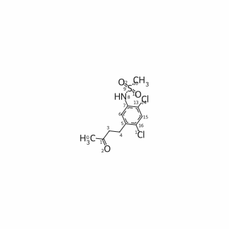 CC(=O)CCc1cc(NS(C)(=O)=O)c(Cl)cc1Cl